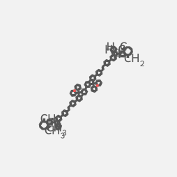 C=C1/C=C\C=C/CC(C)(C)c2cc(-n3c4ccccc4c4cc(-c5ccc(/C=C/c6ccc(-c7ccc8c(c7)C(C7=CCCC=C7)(c7ccccc7)c7cc(-c9ccc%10c(c9)C(c9ccccc9)(c9ccccc9)c9cc(-c%11ccc(/C=C/c%12ccc(-c%13ccc%14c(c%13)c%13ccccc%13n%14-c%13ccc%14c(c%13)C(C)(C)C/C=C\C=C/C%14=C)cc%12)cc%11)ccc9-%10)ccc7-8)cc6)cc5)ccc43)ccc21